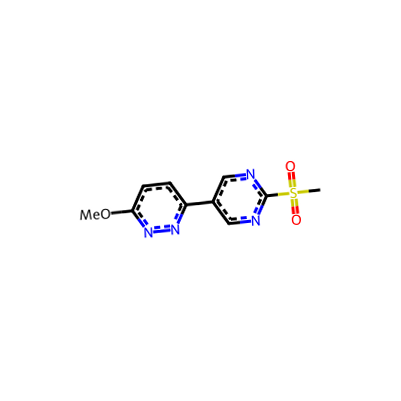 COc1ccc(-c2cnc(S(C)(=O)=O)nc2)nn1